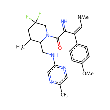 CN/C=C(\C(=N)C(=O)N1CC(F)(F)CC(C)C1CNc1cnc(C(F)(F)F)cn1)c1ccc(OC)cc1